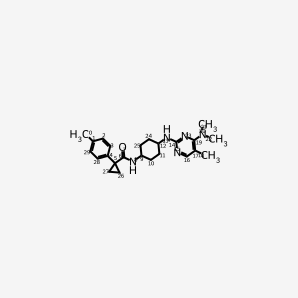 Cc1ccc(C2(C(=O)NC3CCC(Nc4ncc(C)c(N(C)C)n4)CC3)CC2)cc1